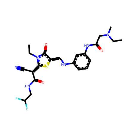 CCN(C)CC(=O)Nc1cccc(NC=c2sc(=C(C#N)C(=O)NCC(F)F)n(CC)c2=O)c1